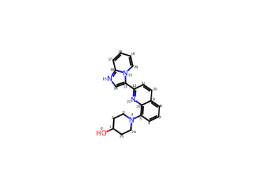 OC1CCN(c2cccc3ccc(-c4cnc5ccccn45)nc23)CC1